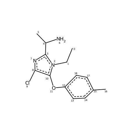 CCn1c(C(C)N)nc(Cl)c1Oc1ccc(C)cc1